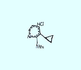 CNc1ncccc1C1CC1.Cl